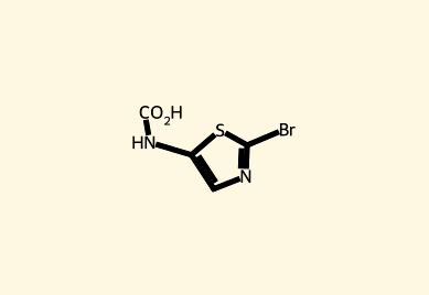 O=C(O)Nc1cnc(Br)s1